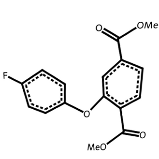 COC(=O)c1ccc(C(=O)OC)c(Oc2ccc(F)cc2)c1